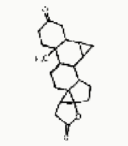 CC12CCC(=O)CC1C1CC1C1C2CCC23C1CCC21OC(=O)CC13